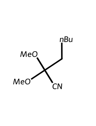 CCCCCC(C#N)(OC)OC